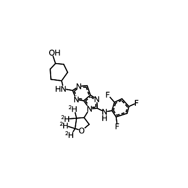 [2H]C1([2H])OCC(n2c(Nc3c(F)cc(F)cc3F)nc3cnc(NC4CCC(O)CC4)nc32)C1([2H])[2H]